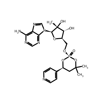 CC1(C)C[C@@H](c2ccncc2)O[P@@](=O)(OC[C@H]2O[C@@H](n3cnc4c(N)ncnc43)[C@](C)(O)[C@@H]2O)O1